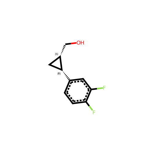 OC[C@H]1C[C@H]1c1ccc(F)c(F)c1